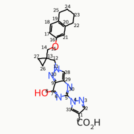 O=C(O)c1cnn(-c2nc(O)c3nn(CC4(COc5ccc6c(c5)CCCC6)CC4)cc3n2)c1